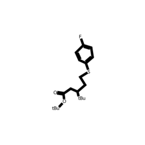 CC(C)(C)OC(=O)CC(CCSc1ccc(F)cc1)C(C)(C)C